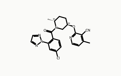 Cc1ccnc(O[C@@H]2CC[C@@H](C)N(C(=O)c3ccc(Cl)cc3-n3nccn3)C2)c1C#N